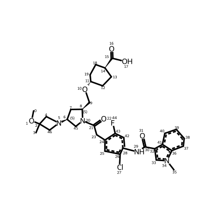 COC1(C)CN([C@H]2C[C@@H](CO[C@H]3CC[C@H](C(=O)O)CC3)N(C(=O)Cc3cc(Cl)c(NC(=O)c4cn(C)c5ccccc45)cc3F)C2)C1